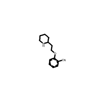 N#Cc1ccccc1OCCC1CCCCN1